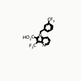 O=C(O)c1c(C(F)(F)F)c2ncccc2n1Cc1cc#cc(C(F)(F)F)c1